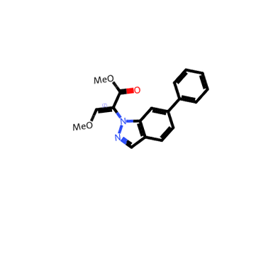 CO/C=C(/C(=O)OC)n1ncc2ccc(-c3ccccc3)cc21